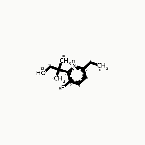 CCc1ccc(F)c(C(C)(C)CO)n1